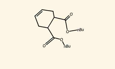 CCCCOC(=O)C1CC=CCC1C(=O)OCCCC